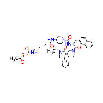 CCNC(=O)[C@]1(Cc2ccccc2)CCCN(C(=O)C(Cc2ccc3ccccc3c2)NC(=O)N2CCC(NC(=O)CCCCCNC(=O)CSC(C)=O)CC2)C1